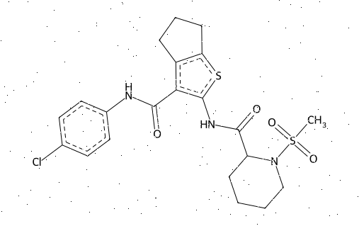 CS(=O)(=O)N1CCCCC1C(=O)Nc1sc2c(c1C(=O)Nc1ccc(Cl)cc1)CCC2